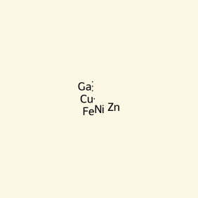 [Cu].[Fe].[Ga].[Ni].[Zn]